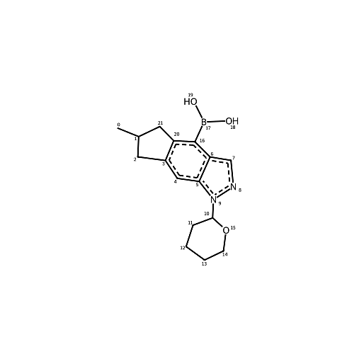 CC1Cc2cc3c(cnn3C3CCCCO3)c(B(O)O)c2C1